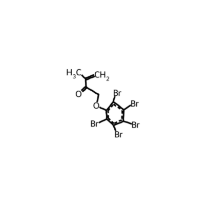 C=C(C)C(=O)COc1c(Br)c(Br)c(Br)c(Br)c1Br